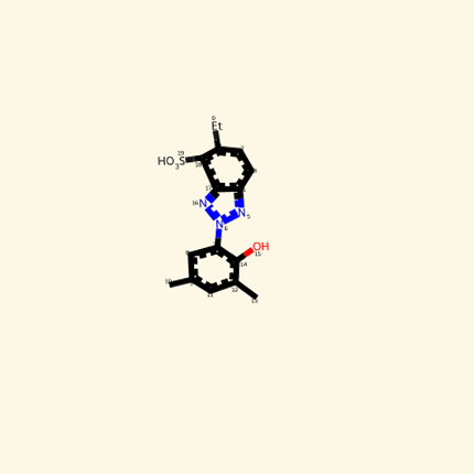 CCc1ccc2nn(-c3cc(C)cc(C)c3O)nc2c1S(=O)(=O)O